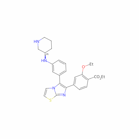 CCOC(=O)c1ccc(-c2nc3sccn3c2-c2cccc(N[C@@H]3CCCNC3)c2)cc1OCC